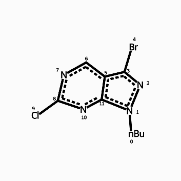 CCCCn1nc(Br)c2cnc(Cl)nc21